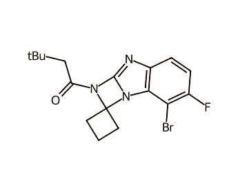 CC(C)(C)CC(=O)N1c2nc3ccc(F)c(Br)c3n2C12CCC2